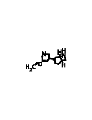 C=COc1cncc(C2=CC[C@H]3CN[C@H]3C2)c1